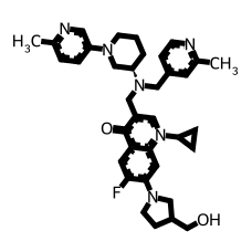 Cc1ccc(N2CCC[C@H](N(Cc3ccnc(C)c3)Cc3cn(C4CC4)c4cc(N5CCC(CO)C5)c(F)cc4c3=O)C2)cn1